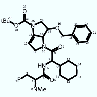 CNC(CF)C(=O)NC(C(=O)N1CC=C2C1C(OCc1ccccc1)CN2C(=O)OC(C)(C)C)C1CCCCC1